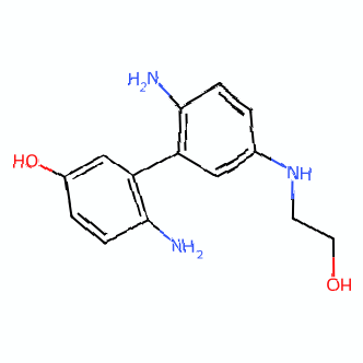 Nc1ccc(O)cc1-c1cc(NCCO)ccc1N